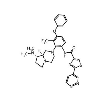 CN(C)[C@H]1CCN2CCN(c3c(NC(=O)c4csc(-c5ccnnc5)n4)ccc(Oc4ccccc4)c3C(F)(F)F)C[C@H]12